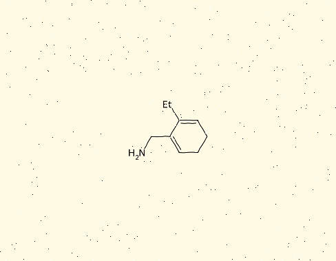 CCC1=CCCC=C1CN